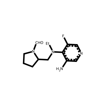 CCN(CC1CCCN1C=O)c1c(N)cncc1F